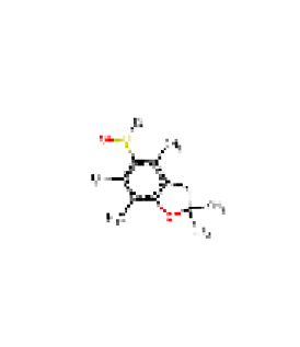 CC[S@@+]([O-])c1c(C)c(C)c2c(c1C)CC(C)(C)O2